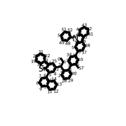 CCC(c1cc(-c2cccc3ccccc23)c2sc3ccccc3c2c1)c1ccccc1-c1ccc(-c2ccc3c4ccccc4n(-c4ccccc4)c3c2)cc1C